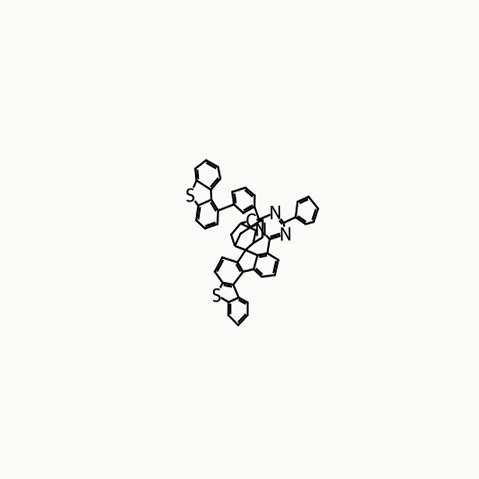 c1ccc(-c2nc(-c3cccc(-c4cccc5sc6ccccc6c45)c3)nc(-c3cccc4c3C3(c5ccc6sc7ccccc7c6c5-4)C4CC5CC(C4)CC3C5)n2)cc1